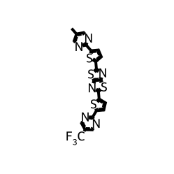 Cc1cnc(-c2ccc(-c3nc4sc(-c5ccc(-c6ncc(C(F)(F)F)cn6)s5)nc4s3)s2)nc1